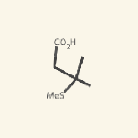 [CH2]SC(C)(C)CC(=O)O